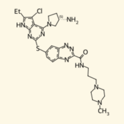 CCc1[nH]c2nc(Sc3ccc4nc(C(=O)NCCCN5CCN(C)CC5)nnc4c3)nc(N3CC[C@H](N)C3)c2c1Cl